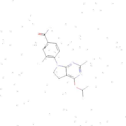 CCC(CC)Oc1nc(C)nc2c1CCN2c1ccc(C(N)=O)cc1C(F)(F)F